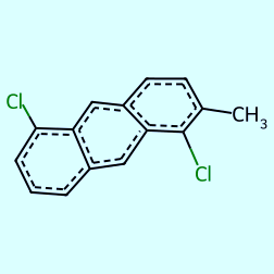 Cc1ccc2cc3c(Cl)cccc3cc2c1Cl